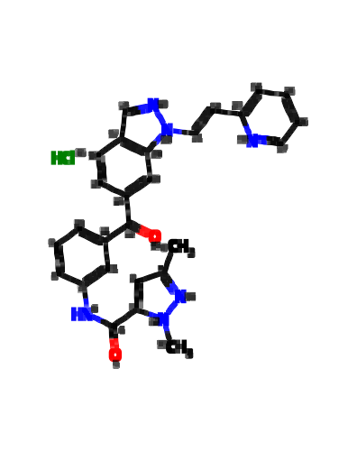 Cc1cc(C(=O)Nc2cccc(C(=O)c3ccc4cnn(C=Cc5ccccn5)c4c3)c2)n(C)n1.Cl